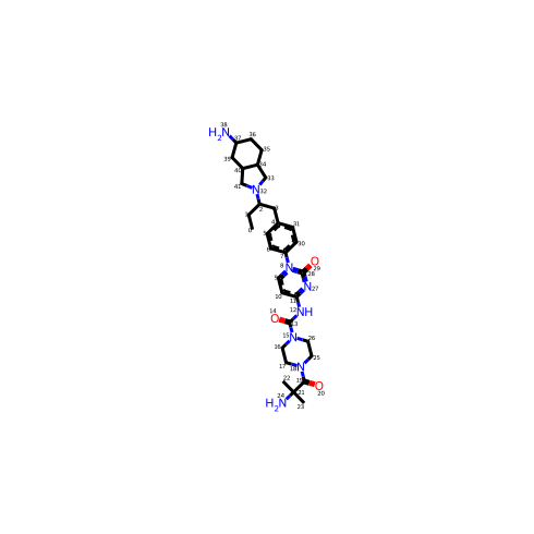 CCC(Cc1ccc(-n2ccc(NC(=O)N3CCN(C(=O)C(C)(C)N)CC3)nc2=O)cc1)N1CC2CCC(N)CC2C1